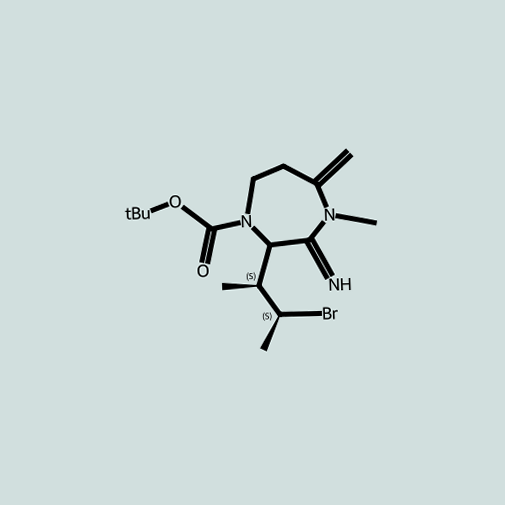 C=C1CCN(C(=O)OC(C)(C)C)C([C@H](C)[C@H](C)Br)C(=N)N1C